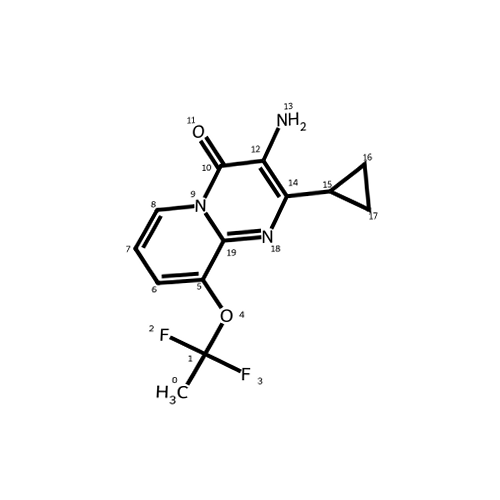 CC(F)(F)Oc1cccn2c(=O)c(N)c(C3CC3)nc12